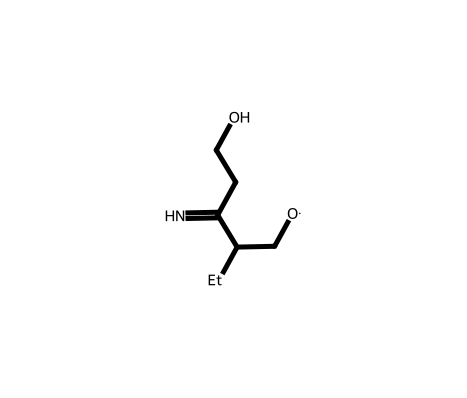 CCC(C[O])C(=N)CCO